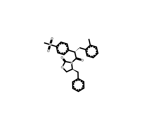 Cc1ccccc1C[C@H](C(=O)N1C(=O)OC[C@@H]1Cc1ccccc1)c1ccc(S(C)(=O)=O)cc1